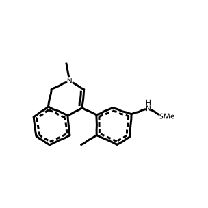 CSNc1ccc(C)c(C2=CN(C)Cc3ccccc32)c1